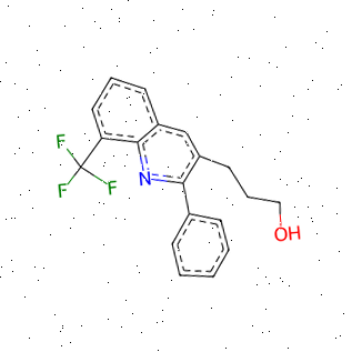 OCCCc1cc2cccc(C(F)(F)F)c2nc1-c1ccccc1